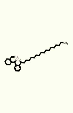 C=CC1=C(C(=O)c2ccccc2C(=O)CCCCCCCCCCCCCCCCC)CCCC1